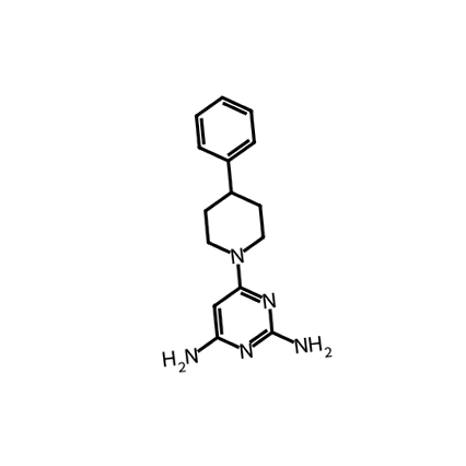 Nc1cc(N2CCC(c3ccccc3)CC2)nc(N)n1